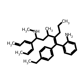 C=C/C=C(\C=C/C)C(CC(C)/C(CCC)=C(\c1ccc(CC)cc1)c1ccccc1N)NC